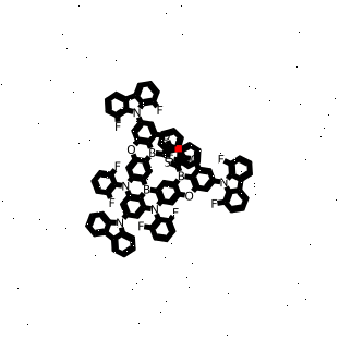 Fc1cccc(F)c1N1c2cc3c(cc2B2c4cc5c(cc4N(c4c(F)cccc4F)c4cc(-n6c7ccccc7c7ccccc76)cc1c42)Oc1cc(-n2c4c(F)cccc4c4cccc(F)c42)cc2c1B5c1sc4ccccc4c1O2)B1c2sc4ccccc4c2Oc2cc(-n4c5c(F)cccc5c5cccc(F)c54)cc(c21)O3